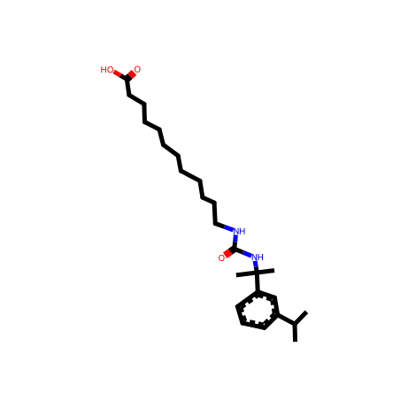 CC(C)c1cccc(C(C)(C)NC(=O)NCCCCCCCCCCCC(=O)O)c1